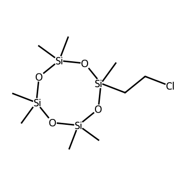 C[Si]1(C)O[Si](C)(C)O[Si](C)(CCCl)O[Si](C)(C)O1